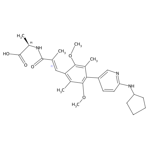 COc1c(C)c(-c2ccc(NC3CCCC3)nc2)c(OC)c(C)c1/C=C(\C)C(=O)N[C@H](C)C(=O)O